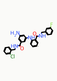 Nc1cc(Nc2cc[c]cc2C(=O)NCc2cccc(F)c2)cc(C(=O)NCc2ccccc2Cl)c1